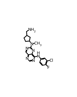 CN(c1ncc2ncnc(Nc3ccc(F)c(Cl)c3)c2n1)C1CCC(CN)C1